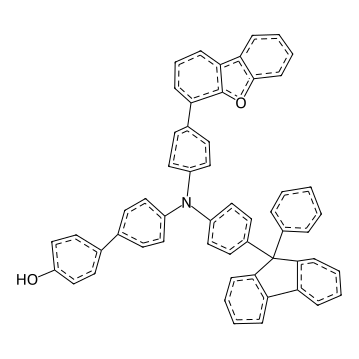 Oc1ccc(-c2ccc(N(c3ccc(-c4cccc5c4oc4ccccc45)cc3)c3ccc(C4(c5ccccc5)c5ccccc5-c5ccccc54)cc3)cc2)cc1